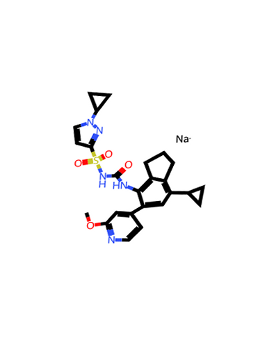 COc1cc(-c2cc(C3CC3)c3c(c2NC(=O)NS(=O)(=O)c2ccn(C4CC4)n2)CCC3)ccn1.[Na]